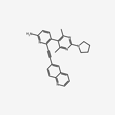 Cc1nc(N2CCCC2)nc(C)c1-c1ccc(N)nc1C#Cc1ccc2ncccc2c1